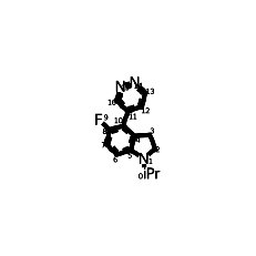 CC(C)N1CCc2c1ccc(F)c2-c1ccnnc1